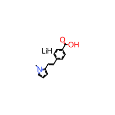 Cn1cccc1C=Cc1ccc(C(=O)O)cc1.[LiH]